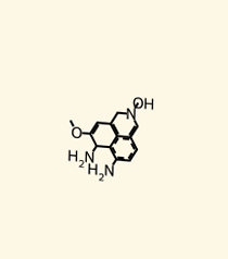 COC1=CC2=c3c(c(N)ccc3=CN(O)C2)C1N